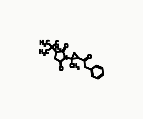 CC(C)(C)C1CC(=O)N(C2(C)CC2C(=O)Cc2ccccc2)C1=O